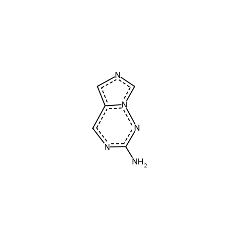 Nc1ncc2cncn2n1